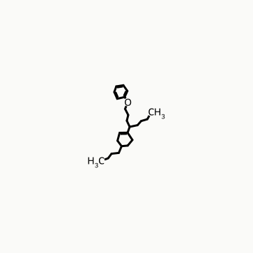 CCCCC1CC=C(C(CCCC)CCCOc2ccccc2)CC1